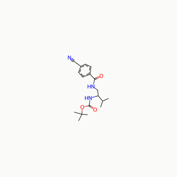 CC(C)C(CNC(=O)c1ccc(C#N)cc1)NC(=O)OC(C)(C)C